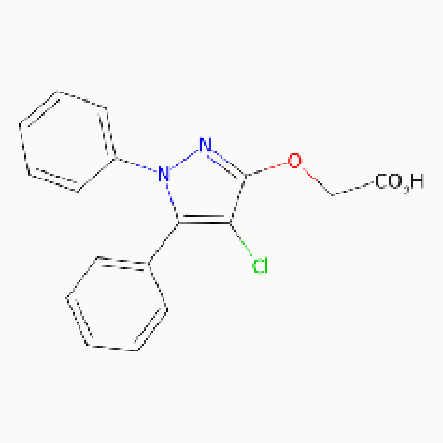 O=C(O)COc1nn(-c2ccccc2)c(-c2ccccc2)c1Cl